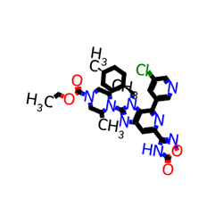 CCOC(=O)N1CC(C)N(c2nc3cc(-c4noc(=O)[nH]4)nc(-c4cncc(Cl)c4)c3n2C[C@H]2CC[C@H](C)CC2)[C@H](C)C1